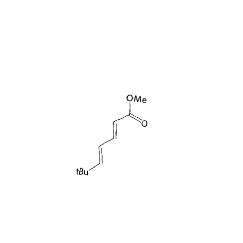 COC(=O)C=CC=CC(C)(C)C